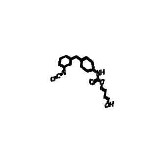 O=C=NC1CCCC(CC2CCC(NC(=O)OCCCCO)CC2)C1